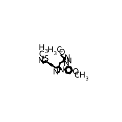 COCc1nnn2c1Cc1c(C#Cc3cnc(C)s3)ncn1-c1ccc(OC)cc1-2